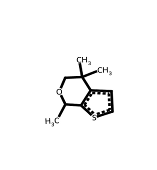 CC1OCC(C)(C)c2ccsc21